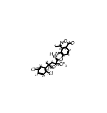 Cc1noc(=O)c2ccc(OC(=O)C(O)(CC(C)(C)c3cc(Cl)ccc3Cl)C(F)(F)F)c(N)c12